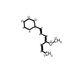 C\C=C/C(=C\C=C\C1CCCCC1)OC